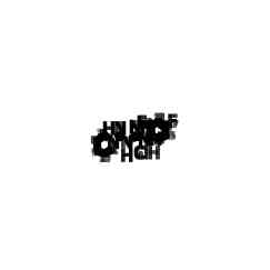 Cl.N=C(NC(=N)N1CCCCC1)Nc1ccc(F)cc1F